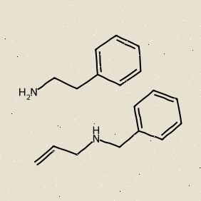 C=CCNCc1ccccc1.NCCc1ccccc1